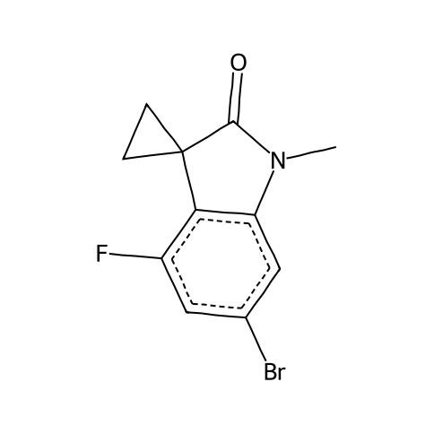 CN1C(=O)C2(CC2)c2c(F)cc(Br)cc21